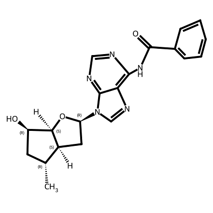 C[C@@H]1C[C@@H](O)[C@H]2O[C@@H](n3cnc4c(NC(=O)c5ccccc5)ncnc43)C[C@H]21